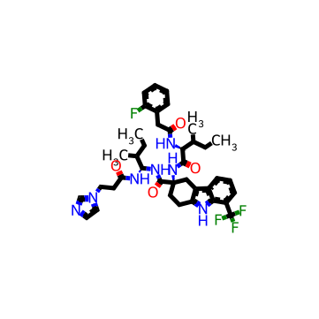 CCC(C)[C@@H](NC(=O)CCn1ccnc1)NC(=O)[C@@]1(NC(=O)[C@@H](NC(=O)Cc2ccccc2F)C(C)CC)CCc2[nH]c3c(C(F)(F)F)cccc3c2C1